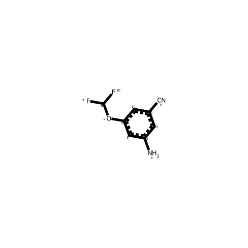 N#Cc1cc(N)cc(OC(F)F)c1